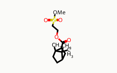 COS(=O)(=O)CCOC(=O)C1CC2CCC1(C)C2(C)C